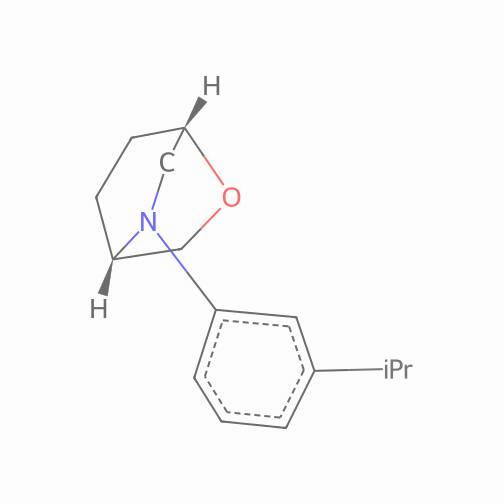 CC(C)c1cccc(N2C[C@@H]3CC[C@H]2CO3)c1